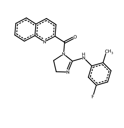 Cc1ccc(F)cc1NC1=NCCN1C(=O)c1ccc2ccccc2n1